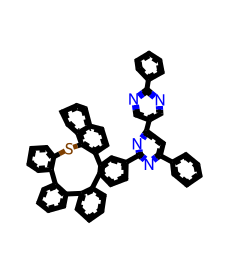 c1ccc(-c2cc(-c3cnc(-c4ccccc4)nc3)nc(-c3ccc4c(c3)-c3ccc5ccccc5c3Sc3ccccc3-c3ccccc3-c3ccccc3-4)n2)cc1